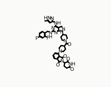 Cc1cc(Nc2nc(NCc3ccc(F)cc3F)nc3c2cnn3C2CCN(C(=O)C3CCN(c4cccc5c4C(=O)N(C4CCC(=O)NC4=O)C5=O)CC3)CC2)n[nH]1